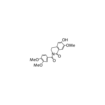 COc1cc2c(cc1O)CCN(C(=O)c1ccc(OC)c(OC)c1)C2=O